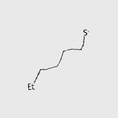 [CH2]CCCCC[S]